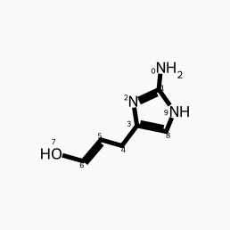 Nc1nc(CC=CO)c[nH]1